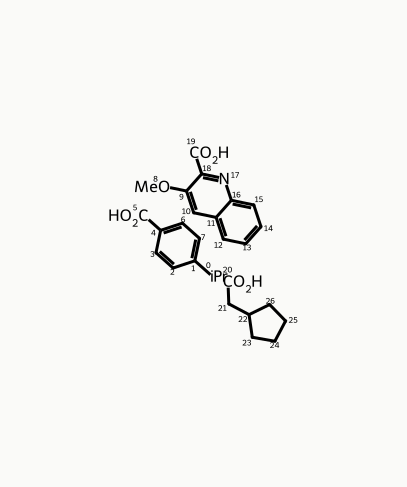 CC(C)c1ccc(C(=O)O)cc1.COc1cc2ccccc2nc1C(=O)O.O=C(O)CC1CCCC1